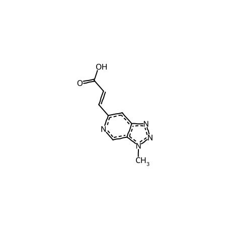 Cn1nnc2cc(C=CC(=O)O)ncc21